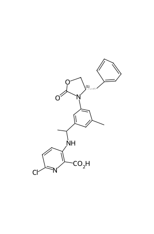 Cc1cc(C(C)Nc2ccc(Cl)nc2C(=O)O)cc(N2C(=O)OC[C@@H]2Cc2ccccc2)c1